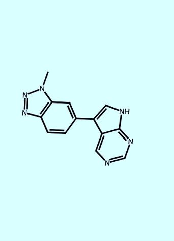 Cn1nnc2ccc(-c3c[nH]c4ncncc34)cc21